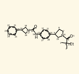 CCC(C)(C)C(=O)N1CCC(c2ccc(NC(=O)N3CC(c4cccnc4)C3)cc2)C1